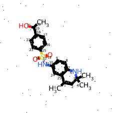 CC1=CC(C)(C)Nc2ccc(NS(=O)(=O)c3ccc(C(C)O)cc3)cc21